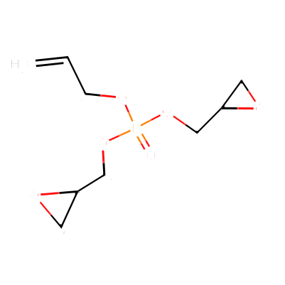 C=CCOP(=O)(OCC1CO1)OCC1CO1